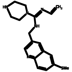 C=C/N=C(\NCc1cnc2ccc(SC)cc2c1)N1CCNCC1